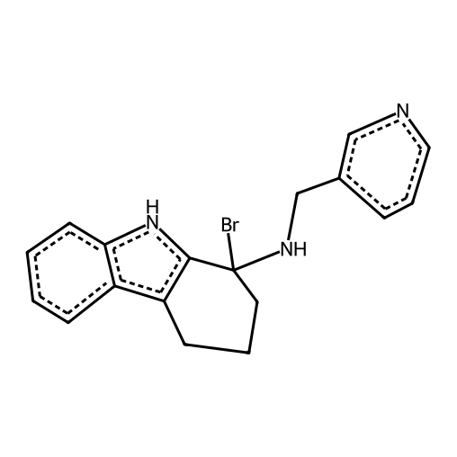 BrC1(NCc2cccnc2)CCCc2c1[nH]c1ccccc21